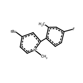 Cc1cc(F)ccc1-c1cc(C(C)(C)C)cc[n+]1C